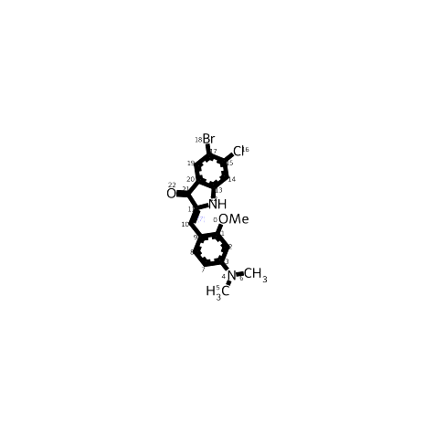 COc1cc(N(C)C)ccc1/C=C1\Nc2cc(Cl)c(Br)cc2C1=O